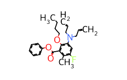 C=CCN(CC=C)c1cc(F)c(C)c(C(=O)Oc2ccccc2)c1OCCCC